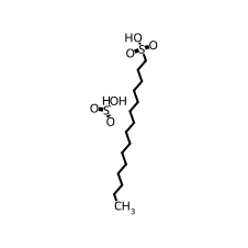 CCCCCCCCCCCCCCCS(=O)(=O)O.O=[SH](=O)O